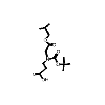 CC(C)COC(=O)CN(CCC(=O)O)C(=O)OC(C)(C)C